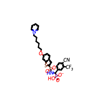 N#Cc1ccc(C(NS(=O)(=O)c2cc3ccc(OCCCCCC[n+]4ccccc4)cc3s2)P(=O)([O-])O)cc1C(F)(F)F